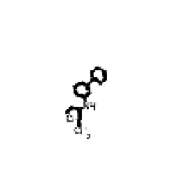 C=C/C=C(\C=C/C)Nc1cccc(C2=CC=CCC2)c1